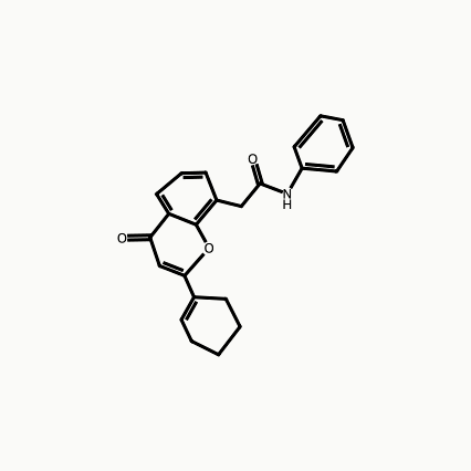 O=C(Cc1cccc2c(=O)cc(C3=CCCCC3)oc12)Nc1ccccc1